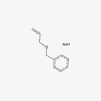 C=CCOCc1ccccc1.[NaH]